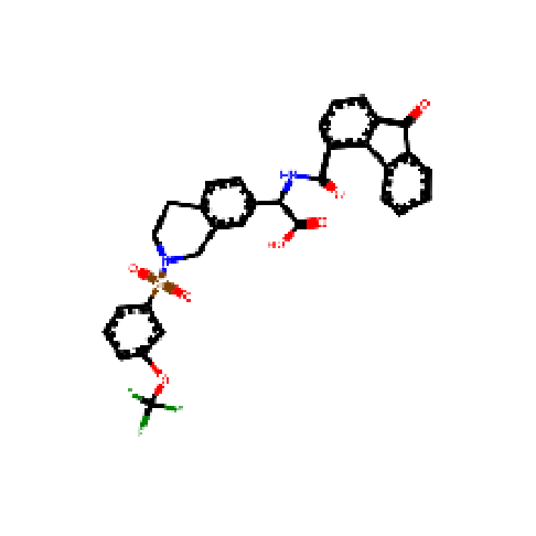 O=C(NC(C(=O)O)c1ccc2c(c1)CN(S(=O)(=O)c1cccc(OC(F)(F)F)c1)CC2)c1cccc2c1-c1ccccc1C2=O